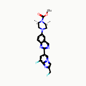 C[C@@H]1CN(c2ccc3nc(-c4cc(F)c5nc(CF)cn5c4)ncc3c2)C[C@H](C)N1C(=O)OC(C)(C)C